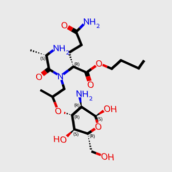 CCCCOC(=O)[C@@H](CCC(N)=O)N(CC(C)O[C@@H]1[C@@H](N)[C@@H](O)O[C@H](CO)[C@H]1O)C(=O)[C@H](C)N